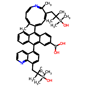 Cc1cccnc(C)c(CC(C)(C)[Si](C)(C)O)ccc1-c1c2ccccc2c(-c2ccc(CC(C)(C)[Si](C)(C)O)c3ncccc23)c2cc(B(O)O)ccc12